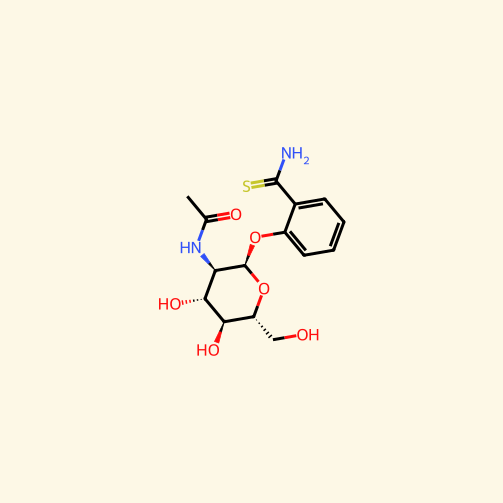 CC(=O)N[C@H]1[C@@H](Oc2ccccc2C(N)=S)O[C@H](CO)[C@@H](O)[C@@H]1O